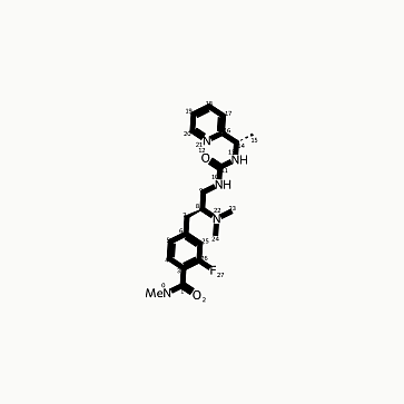 CNC(=O)c1ccc(C[C@@H](CNC(=O)N[C@@H](C)c2ccccn2)N(C)C)cc1F